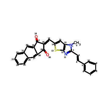 Cn1c(/C=C/c2ccccc2)nc2sc(C=C3C(=O)c4cc5ccccc5cc4C3=O)cc21